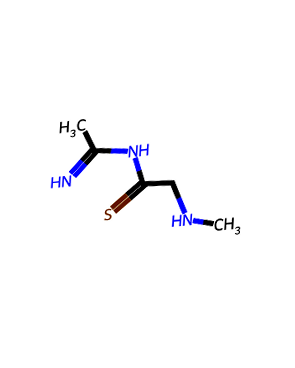 CNCC(=S)NC(C)=N